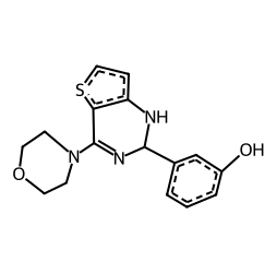 Oc1cccc(C2N=C(N3CCOCC3)c3sccc3N2)c1